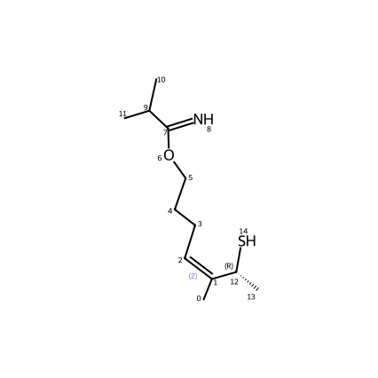 C/C(=C/CCCOC(=N)C(C)C)[C@@H](C)S